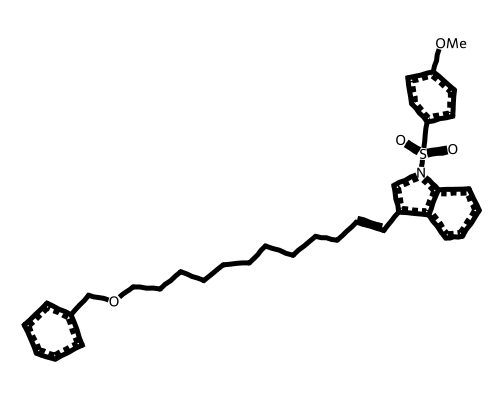 COc1ccc(S(=O)(=O)n2cc(C=CCCCCCCCCCCOCc3ccccc3)c3ccccc32)cc1